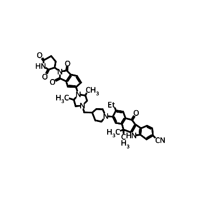 CCc1cc2c(cc1N1CCC(CN3CC(C)N(c4ccc5c(c4)C(=O)N(C4CCC(=O)NC4=O)C5=O)C(C)C3)CC1)C(C)(C)c1[nH]c3cc(C#N)ccc3c1C2=O